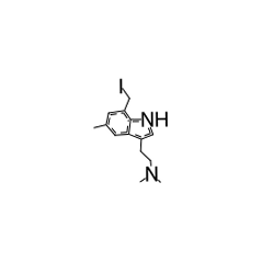 Cc1cc(CI)c2[nH]cc(CCN(C)C)c2c1